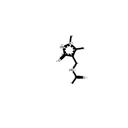 CC(=O)NCc1c(C)n(C)[nH]c1=O